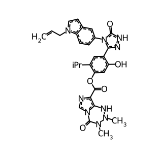 C=CCn1ccc2cc(-n3c(-c4cc(C(C)C)c(OC(=O)c5ncn6c5NN(C)N(C)C6=O)cc4O)n[nH]c3=O)ccc21